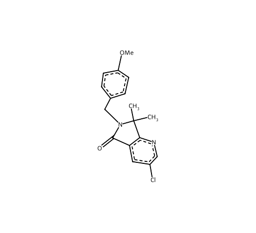 COc1ccc(CN2C(=O)c3cc(Cl)cnc3C2(C)C)cc1